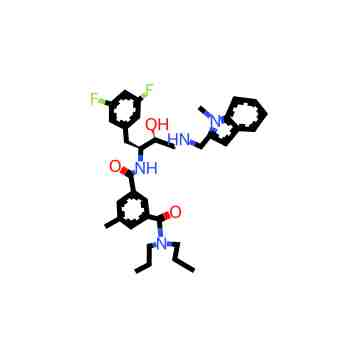 CCCN(CCC)C(=O)c1cc(C)cc(C(=O)N[C@@H](Cc2cc(F)cc(F)c2)[C@H](O)CNCc2cc3ccccc3n2C)c1